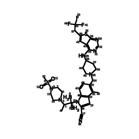 BC(B)(C(C)N1CCN(S(C)(=O)=O)CC1)n1c(C#N)cc2c(C)c(CN3CCC(Nc4ncnc5sc(CC(F)(F)F)cc45)CC3)ccc21